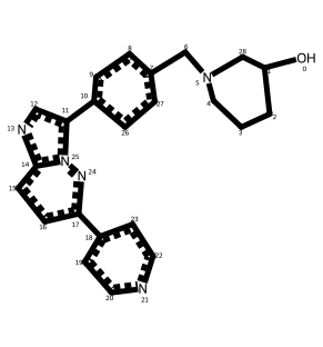 OC1CCCN(Cc2ccc(-c3cnc4ccc(-c5ccncc5)nn34)cc2)C1